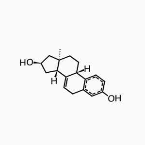 C[C@]12CC[C@H]3C(=CCc4cc(O)ccc43)[C@@H]1C[C@@H](O)C2